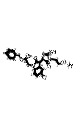 O=C(O)CCN1C(=O)/C(=C2/C(=O)N(CC(=O)OCc3ccccc3)c3ccc(Cl)cc32)SC1S